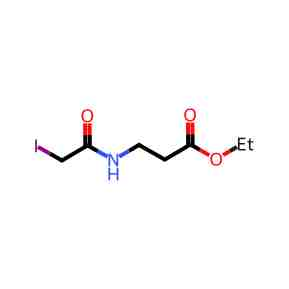 CCOC(=O)CCNC(=O)CI